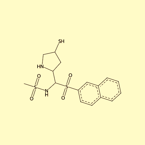 CS(=O)(=O)NC(C1CC(S)CN1)S(=O)(=O)c1ccc2ccccc2c1